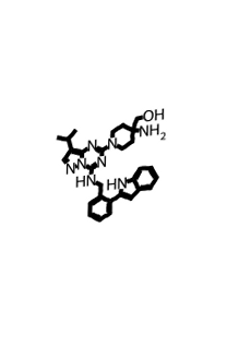 CC(C)c1cnn2c(NCc3ccccc3-c3cc4ccccc4[nH]3)nc(N3CCC(N)(CO)CC3)nc12